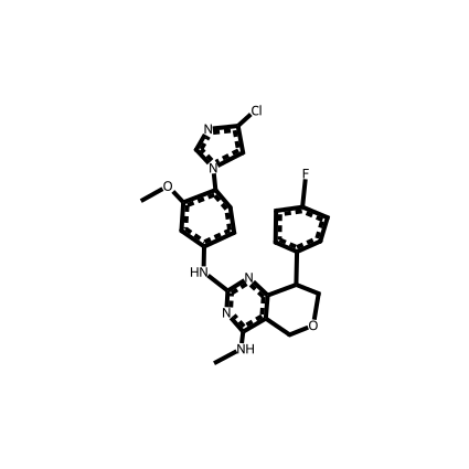 CNc1nc(Nc2ccc(-n3cnc(Cl)c3)c(OC)c2)nc2c1COCC2c1ccc(F)cc1